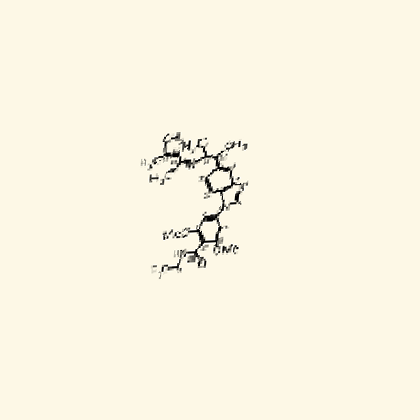 COc1cc(-n2cnc3cc(C(C)C(C)/N=C(/C)C=C(C)C)ccc32)cc(OC)c1C(=O)NCC(F)(F)F